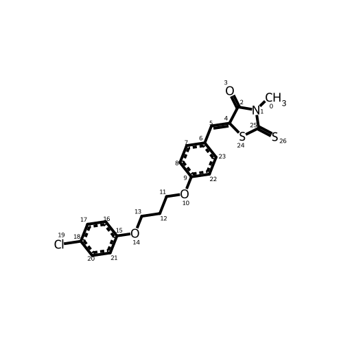 CN1C(=O)C(=Cc2ccc(OCCCOc3ccc(Cl)cc3)cc2)SC1=S